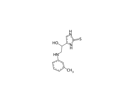 Cc1cccc(NCC(O)c2c[nH]c(=S)[nH]2)c1